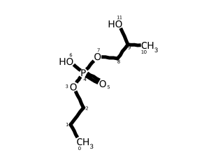 CCCOP(=O)(O)OCC(C)O